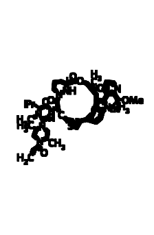 C=CC(=O)N1C[C@@H](C)N(C(=O)N(C)[C@H](C(=O)N[C@H]2Cc3nc(cs3)-c3ccc4c(c3)c(c(-c3cccnc3[C@H](C)OC)n4CC)CC(C)(C)COC(=O)[C@@H]3CCCN(N3)C2=O)C(C)C)C[C@@H]1C